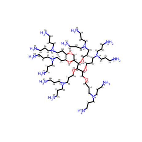 NCCCN(CCCN)CCCOCC(OCCCN(CCCN)CCCN)C(OCCCN(CCCN)CCCN)C(OCCCN(CCCN)CCCN)C(COCCCN(CCCN)CCCN)OCCCN(CCCN)CCCN